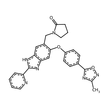 Cc1noc(-c2ccc(Oc3cc4nc(-c5ccccn5)[nH]c4cc3CN3CCCC3=O)cc2)n1